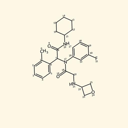 Cc1ccccc1C(C(=O)NC1CCCCC1)N(C(=O)CNC1COC1)c1cccc(F)c1